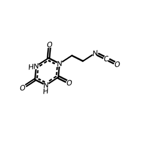 O=C=NCCn1c(=O)[nH]c(=O)[nH]c1=O